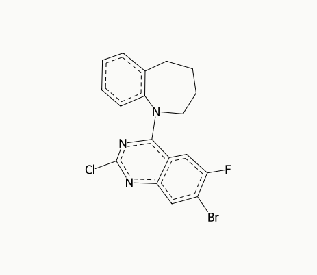 Fc1cc2c(N3CCCCc4ccccc43)nc(Cl)nc2cc1Br